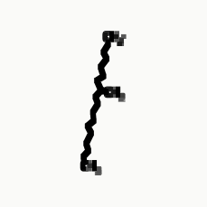 [CH2]CCCCCCC(=C)CCCCCCCCCC